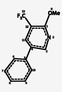 COc1ncc(-c2c[c]ccc2)cc1C(F)(F)F